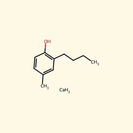 CCCCc1cc(C)ccc1O.[CaH2]